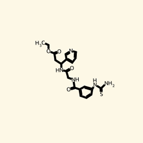 CCOC(=O)CC(NC(=O)CNC(=O)c1cccc(NC(N)=S)c1)c1cccnc1